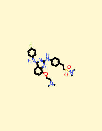 CN(C)CCOc1cccc2c(Nc3ccc(F)cc3)nc(Nc3ccc(CCS(=O)(=O)N(C)C)cc3)nc12